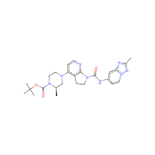 Cc1nc2cc(NC(=O)N3CCc4c(N5CCN(C(=O)OC(C)(C)C)[C@H](C)C5)ccnc43)ccn2n1